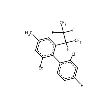 CCc1[c]c(C)cc(C(F)(C(F)(F)F)C(F)(F)C(F)(F)F)c1-c1ccc(F)cc1Cl